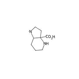 O=C(O)C12CC[N]C1CCCN2